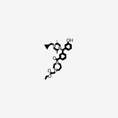 CCOC(=O)CN1CCCN(C(=O)c2cccc([C@H](c3cccc(O)c3)N3C[C@@H](C)N(CC4CC4)C[C@@H]3C)c2)CC1